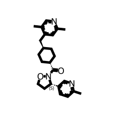 Cc1ccc([C@@H]2CCON2C(=O)[C@H]2CC[C@H](Cc3cc(C)ncc3C)CC2)cn1